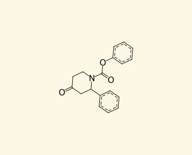 O=C1CCN(C(=O)Oc2ccccc2)C(c2ccccc2)C1